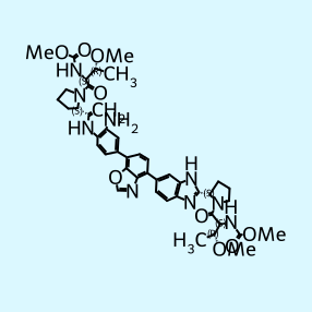 C=C(Nc1ccc(-c2ccc(-c3ccc4nc([C@@H]5CCCN5C(=O)[C@@H](NC(=O)OC)[C@@H](C)OC)[nH]c4c3)c3ncoc23)cc1N)[C@@H]1CCCN1C(=O)[C@@H](NC(=O)OC)[C@@H](C)OC